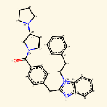 O=C(c1ccc(Cc2nc3ccccc3n2CCc2ccccc2)cc1)N1CC[C@H](N2CCCC2)C1